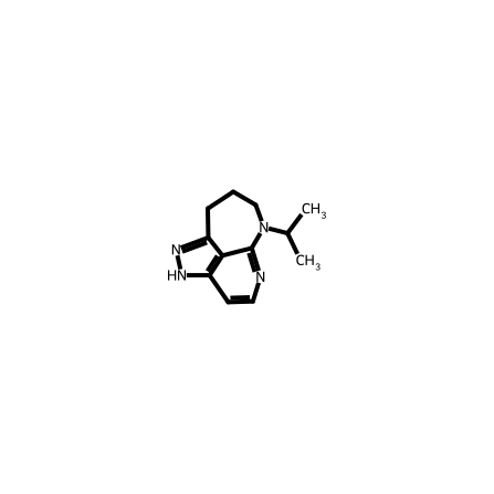 CC(C)N1CCCc2n[nH]c3ccnc1c23